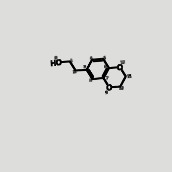 OC[CH]c1ccc2c(c1)OCCO2